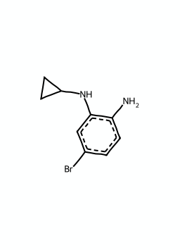 Nc1ccc(Br)cc1NC1CC1